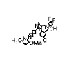 COc1ccc(C)nc1N1CC2(CC(c3nnc4n3-c3ccc(Cl)cc3CN(C3(C)CC(F)(F)C3)C4)C2)C1